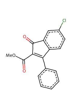 COC(=O)C1=C(c2ccccc2)c2ccc(Cl)cc2C1=O